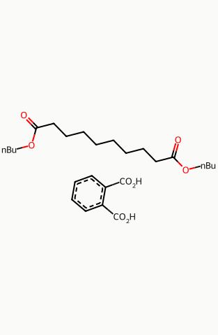 CCCCOC(=O)CCCCCCCCC(=O)OCCCC.O=C(O)c1ccccc1C(=O)O